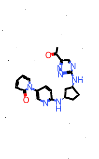 CC(=O)c1cnc(N[C@H]2CC[C@H](Nc3ccc(-n4ccccc4=O)cn3)C2)nn1